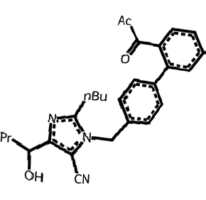 CCCCc1nc(C(O)C(C)C)c(C#N)n1Cc1ccc(-c2ccccc2C(=O)C(C)=O)cc1